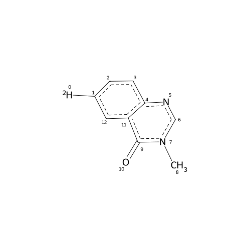 [2H]c1ccc2ncn(C)c(=O)c2c1